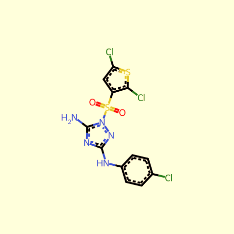 Nc1nc(Nc2ccc(Cl)cc2)nn1S(=O)(=O)c1cc(Cl)sc1Cl